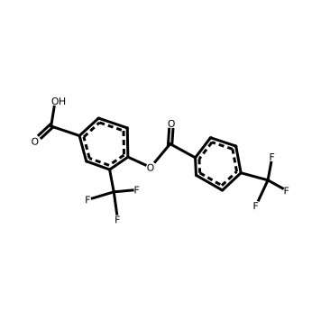 O=C(O)c1ccc(OC(=O)c2ccc(C(F)(F)F)cc2)c(C(F)(F)F)c1